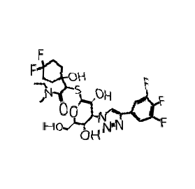 CCN(C)C(=O)C(S[C@@H]1O[C@H](CO)[C@H](O)[C@H](n2cc(-c3cc(F)c(F)c(F)c3)nn2)[C@H]1O)C1(O)CCC(F)(F)CC1